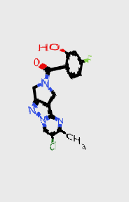 Cc1nc2c3c(nn2cc1Cl)CN(C(=O)c1ccc(F)cc1O)C3